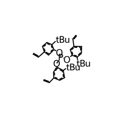 C=Cc1ccc(C(C)(C)C)c(OP(Oc2cc(C=C)ccc2C(C)(C)C)Oc2cc(C=C)ccc2C(C)(C)C)c1